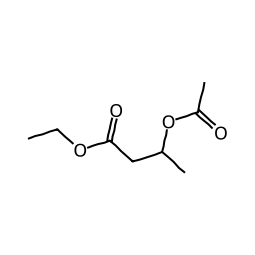 CCOC(=O)CC(C)OC(C)=O